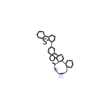 C=C1/C=C\C=C/Cc2ccccc2-c2ccc3c(oc4ccc(-c5cccc6c5sc5ccccc56)cc43)c21